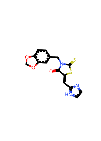 O=C1C(=Cc2ncc[nH]2)SC(=S)N1Cc1ccc2c(c1)OCO2